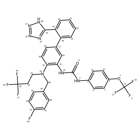 O=C(Nc1ccc(OC(F)(F)F)cc1)Nc1cc(-c2ccccc2-c2nnn[nH]2)ccc1N(CCC(F)(F)F)Cc1ccc(F)cc1